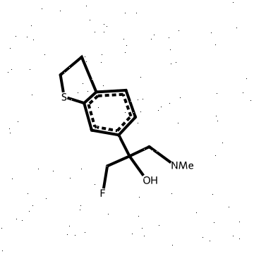 CNCC(O)(CF)c1ccc2c(c1)SCC2